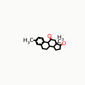 Cc1ccc2c(c1)CCC1C2C(=O)C[C@]2(C)C(=O)CCC12